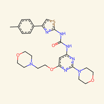 Cc1ccc(-c2csc(NC(=O)Nc3cc(OCCN4CCOCC4)nc(N4CCOCC4)n3)n2)cc1